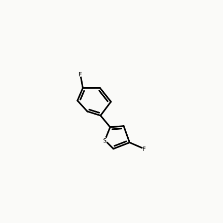 Fc1ccc(-c2cc(F)cs2)cc1